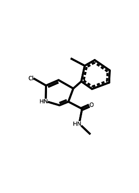 CNC(=O)C1=CNC(Cl)=CC1c1ccccc1C